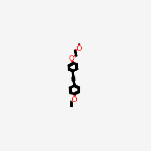 CCOc1ccc(C#Cc2ccc(OCCOC)cc2)cc1